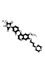 COc1cc2c(Oc3ccc(N4C(=O)NC(C)C4=O)cc3F)ccnc2cc1OCCCN1CCOCC1